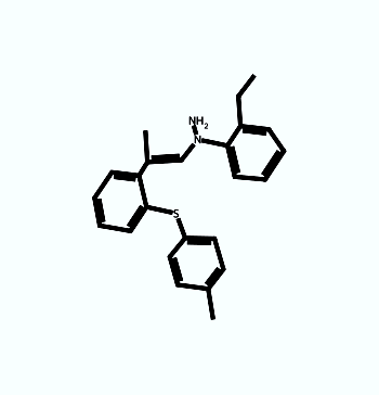 CCc1ccccc1N(N)/C=C(\C)c1ccccc1Sc1ccc(C)cc1